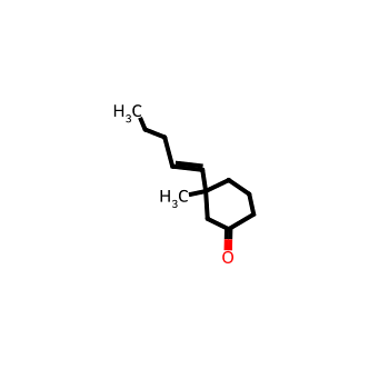 CCC/C=C/C1(C)CCCC(=O)C1